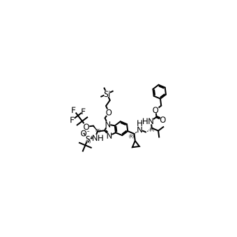 CC(C)[C@H](CN[C@@H](c1ccc2c(c1)nc([C@H](COC(C)(C)C(F)(F)F)N[S@+]([O-])C(C)(C)C)n2COCC[Si](C)(C)C)C1CC1)NC(=O)OCc1ccccc1